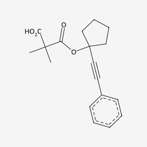 CC(C)(C(=O)O)C(=O)OC1(C#Cc2ccccc2)CCCC1